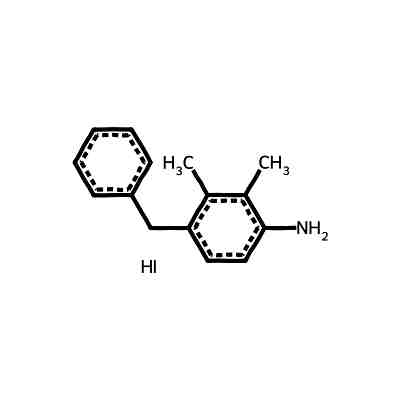 Cc1c(N)ccc(Cc2ccccc2)c1C.I